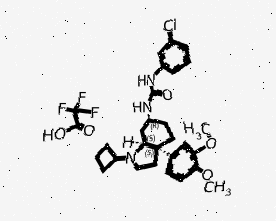 COc1ccc([C@@]23CC[C@@H](NC(=O)Nc4cccc(Cl)c4)C[C@@H]2N(C2CCC2)CC3)cc1OC.O=C(O)C(F)(F)F